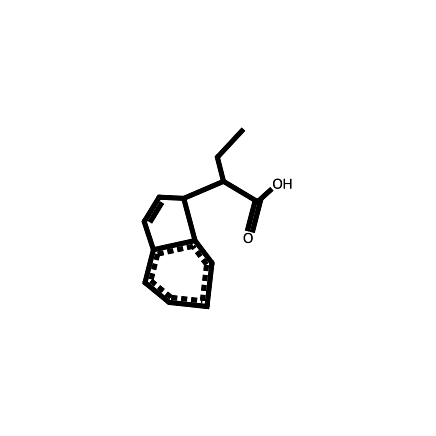 CCC(C(=O)O)C1C=Cc2ccccc21